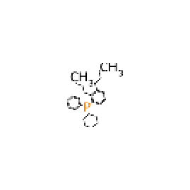 CCCCc1cccc(P(c2ccccc2)C2CCCCC2)c1CCCC